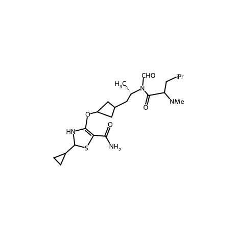 CNC(CC(C)C)C(=O)N(C=O)[C@@H](C)CC1CC(OC2=C(C(N)=O)SC(C3CC3)N2)C1